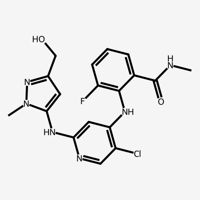 CNC(=O)c1cccc(F)c1Nc1cc(Nc2cc(CO)nn2C)ncc1Cl